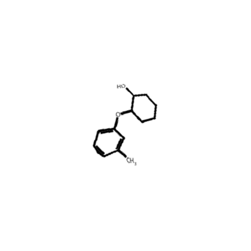 Cc1cccc(OC2CCCCC2O)c1